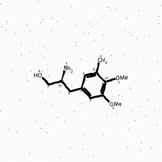 COc1cc(C[C@H](N)CO)cc(C)c1OC